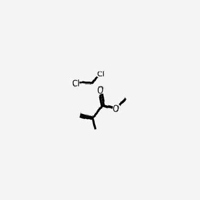 C=C(C)C(=O)OC.ClCCl